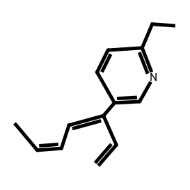 C=C/C(=C\C=C/C)c1ccc(CC)nc1